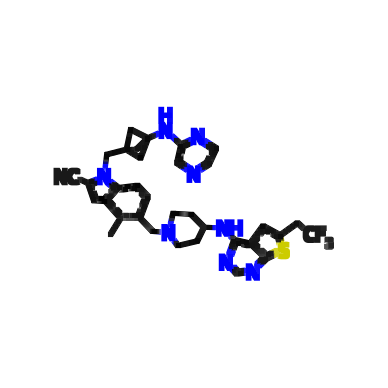 Cc1c(CN2CCC(Nc3ncnc4sc(CC(F)(F)F)cc34)CC2)ccc2c1cc(C#N)n2CC12CC(Nc3cnccn3)(C1)C2